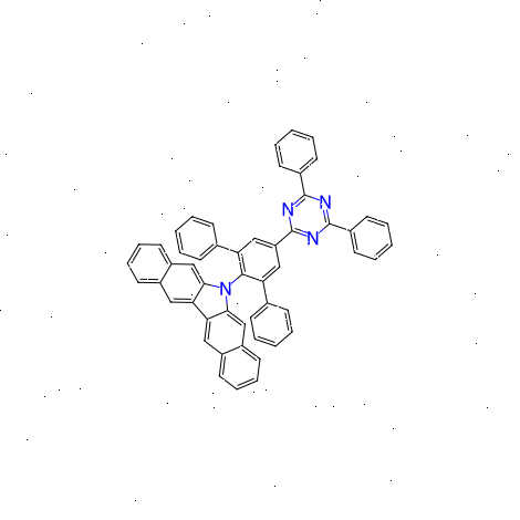 c1ccc(-c2nc(-c3ccccc3)nc(-c3cc(-c4ccccc4)c(-n4c5cc6ccccc6cc5c5cc6ccccc6cc54)c(-c4ccccc4)c3)n2)cc1